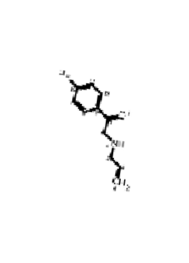 C=CCNCC(=O)c1ccc(F)cc1